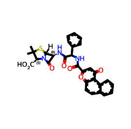 CC1(C)S[C@@H]2[C@H](NC(=O)C(NC(=O)c3cc(=O)c4c(ccc5ccccc54)o3)c3ccccc3)C(=O)N2[C@H]1C(=O)O